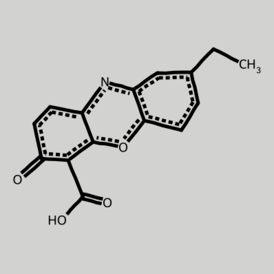 CCc1ccc2oc3c(C(=O)O)c(=O)ccc-3nc2c1